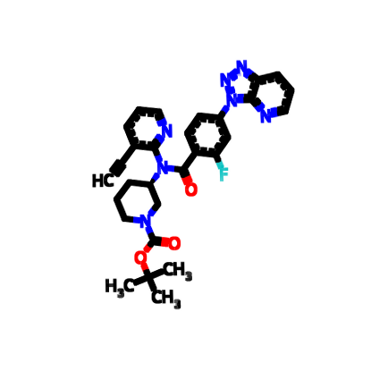 C#Cc1cccnc1N(C(=O)c1ccc(-n2nnc3cccnc32)cc1F)[C@@H]1CCCN(C(=O)OC(C)(C)C)C1